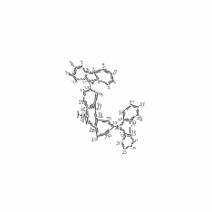 c1ccc2c(c1)c1ccccc1n2-c1ccc2[nH]c3ccc(-n4c5ccccc5c5ccccc54)cc3c2c1